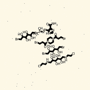 CN(C)/N=N/c1[nH]cnc1C(N)=O.O=C(CCBr)N1CCN(C(=O)CCBr)CC1.OC(CBr)C(O)C(O)C(O)CBr.O[C@@H]([C@H](O)[C@H](O)CBr)[C@H](O)CBr.O[C@@H]([C@H](O)[C@H](O)CNCCCl)[C@H](O)CNCCCl